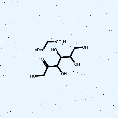 CCCCCCCCCCCC(=O)O.O=C(CO)C(O)C(O)C(O)CO